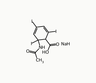 CC(=O)NC1(I)C=C(I)C=C(I)C1C(=O)O.[NaH]